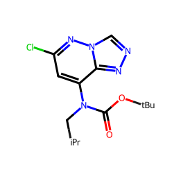 CC(C)CN(C(=O)OC(C)(C)C)c1cc(Cl)nn2cnnc12